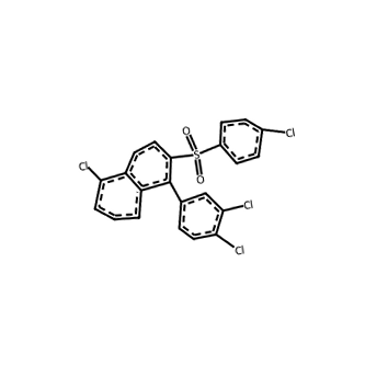 O=S(=O)(c1ccc(Cl)cc1)c1ccc2c(Cl)cccc2c1-c1ccc(Cl)c(Cl)c1